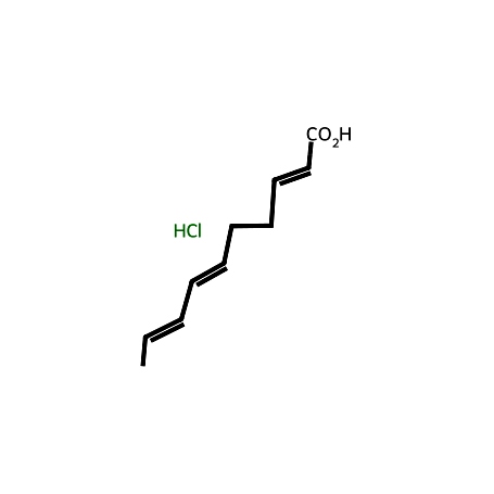 CC=CC=CCCC=CC(=O)O.Cl